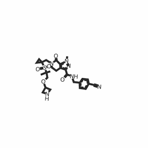 Cn1nc(C(=O)NCc2ccc(C#N)cc2)c2c1C(=O)N(CC1(S(=O)(=O)C(C)(C)COC3CNC3)CC1)CC2